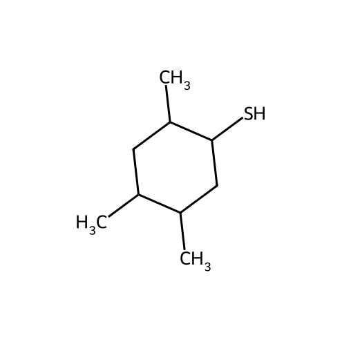 CC1CC(C)C(S)CC1C